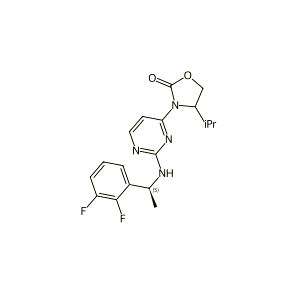 CC(C)C1COC(=O)N1c1ccnc(N[C@@H](C)c2cccc(F)c2F)n1